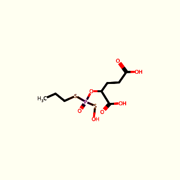 CCCSP(=O)(OC(CCC(=O)O)C(=O)O)SO